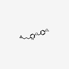 COc1ccc(COc2ccc(CCCC3CC3)nc2)cc1